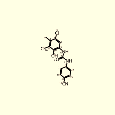 Cc1c(Cl)cc(NC(=O)Nc2ccc(C#N)cc2)c(O)c1Cl